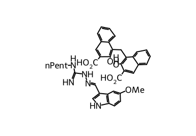 CCCCCNC(=N)N/N=C/c1c[nH]c2ccc(OC)cc12.O=C(O)c1cc2ccccc2c(Cc2c(O)c(C(=O)O)cc3ccccc23)c1O